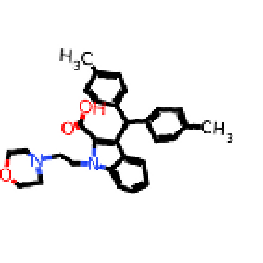 Cc1ccc(C(c2ccc(C)cc2)c2c(C(=O)O)n(CCN3CCOCC3)c3ccccc23)cc1